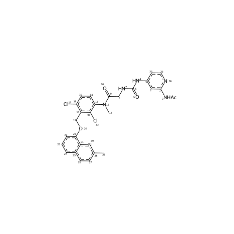 CC(=O)Nc1cc(NC(=O)NCC(=O)N(C)c2ccc(Cl)c(COc3cccc4ccc(C)nc34)c2Cl)ccn1